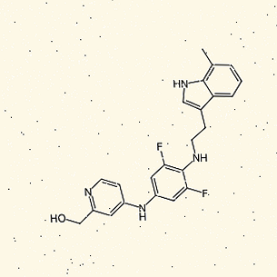 Cc1cccc2c(CCNc3c(F)cc(Nc4ccnc(CO)c4)cc3F)c[nH]c12